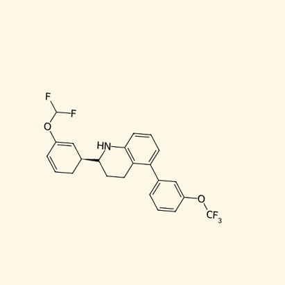 FC(F)OC1=C[C@@H](C2CCc3c(cccc3-c3cccc(OC(F)(F)F)c3)N2)CC=C1